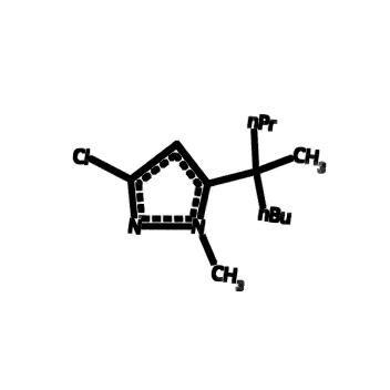 CCCCC(C)(CCC)c1cc(Cl)nn1C